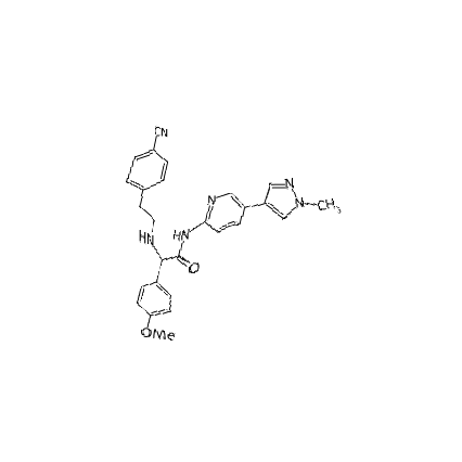 COc1ccc(C(NCCc2ccc(C#N)cc2)C(=O)Nc2ccc(-c3cnn(C)c3)cn2)cc1